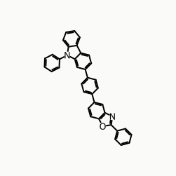 c1ccc(-c2nc3cc(-c4ccc(-c5ccc6c7ccccc7n(-c7ccccc7)c6c5)cc4)ccc3o2)cc1